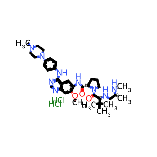 CN[C@@H](C)CN[C@H](C(=O)N1CCC[C@H]1C(=O)Nc1cc2c(Nc3ccc(N4CCN(C)CC4)cc3)ncnc2cc1OC)C(C)(C)C.Cl.Cl